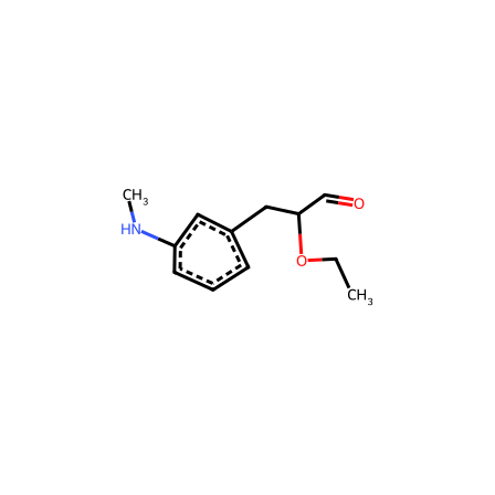 CCOC(C=O)Cc1cccc(NC)c1